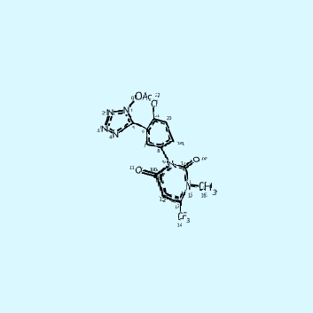 CC(=O)On1nnnc1-c1cc(-n2c(=O)cc(C(F)(F)F)n(C)c2=O)ccc1Cl